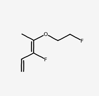 C=C/C(F)=C(\C)OCCF